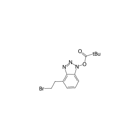 CC(C)(C)C(=O)On1nnc2c(CCBr)cccc21